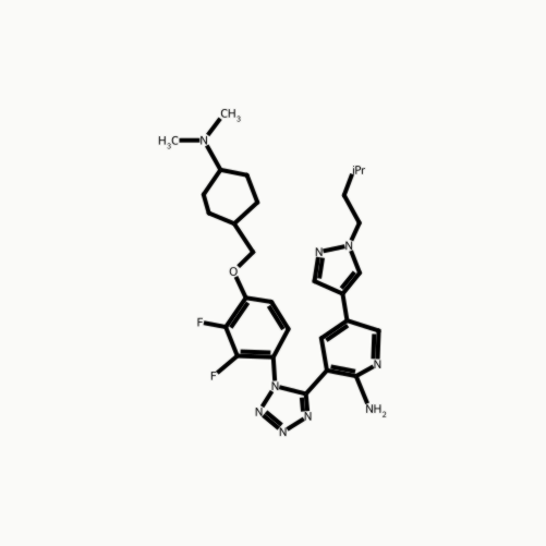 CC(C)CCn1cc(-c2cnc(N)c(-c3nnnn3-c3ccc(OCC4CCC(N(C)C)CC4)c(F)c3F)c2)cn1